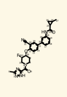 Cc1n[nH]c(C(=O)N2CC[C@H](Oc3ccc(-c4cccc(NC(=O)C5CC5C)c4)cc3C#N)[C@H](F)C2)n1